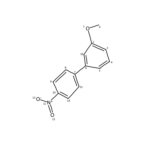 COc1cc[c]c(-c2ccc([N+](=O)[O-])cc2)c1